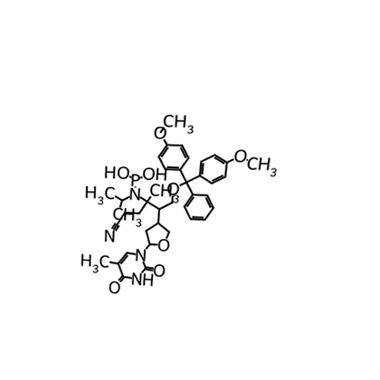 COc1ccc(C(OCC(C2COC(n3cc(C)c(=O)[nH]c3=O)C2)C(C)(CCC#N)N(C(C)C)P(O)O)(c2ccccc2)c2ccc(OC)cc2)cc1